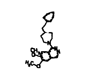 COc1cc2cnnc(N3CCC(Cc4ccccc4)CC3)c2cc1OC